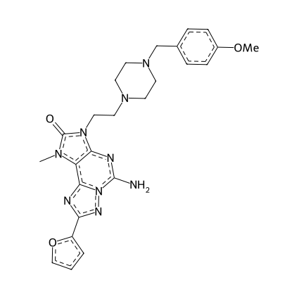 COc1ccc(CN2CCN(CCn3c(=O)n(C)c4c3nc(N)n3nc(-c5ccco5)nc43)CC2)cc1